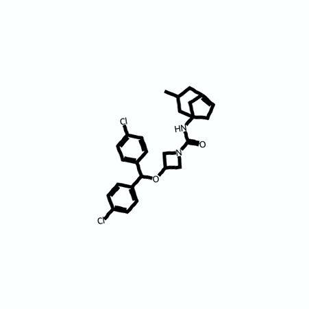 CC1CC2=CCC(NC(=O)N3CC(OC(c4ccc(Cl)cc4)c4ccc(Cl)cc4)C3)(C2)C1